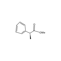 COC(=O)[C@@H](C)c1ccccc1